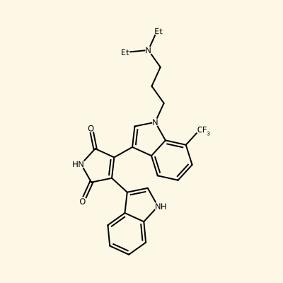 CCN(CC)CCCn1cc(C2=C(c3c[nH]c4ccccc34)C(=O)NC2=O)c2cccc(C(F)(F)F)c21